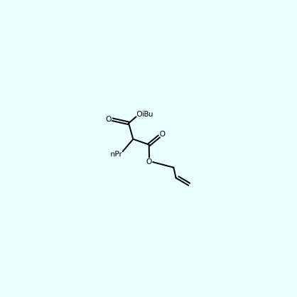 C=CCOC(=O)C(CCC)C(=O)OCC(C)C